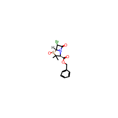 CC1(C)[C@H](C(=O)OCc2ccccc2)N2C(=O)[C@H](Br)[C@H]2[S+]1[O-]